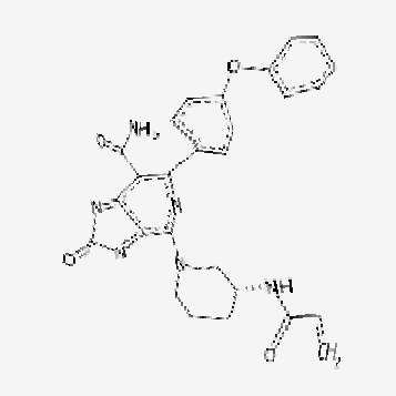 C=CC(=O)N[C@@H]1CCCN(c2nc(-c3ccc(Oc4ccccc4)cc3)c(C(N)=O)c3c2=NC(=O)N=3)C1